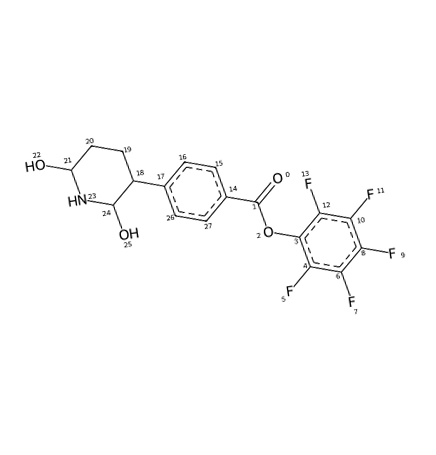 O=C(Oc1c(F)c(F)c(F)c(F)c1F)c1ccc(C2CCC(O)NC2O)cc1